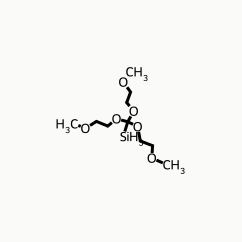 COCCOC([SiH3])(OCCOC)OCCOC